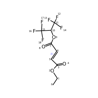 CCOC(=O)/C=C/C(=O)OC(C(F)(F)F)C(F)(F)F